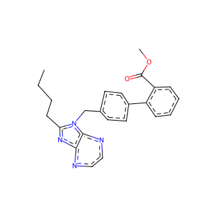 CCCCc1nc2nccnc2n1Cc1ccc(-c2ccccc2C(=O)OC)cc1